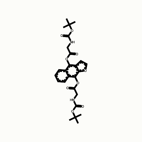 CC(C)(C)OC(=O)NCC(=O)Oc1c2ccccc2c(OC(=O)CNC(=O)OC(C)(C)C)c2occc12